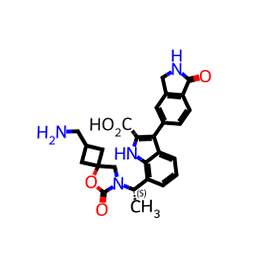 C[C@@H](c1cccc2c(-c3ccc4c(c3)CNC4=O)c(C(=O)O)[nH]c12)N1CC2(CC(CN)C2)OC1=O